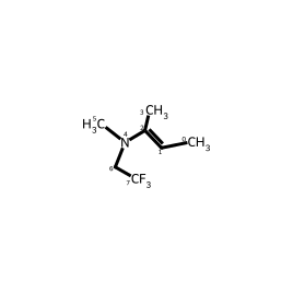 CC=C(C)N(C)CC(F)(F)F